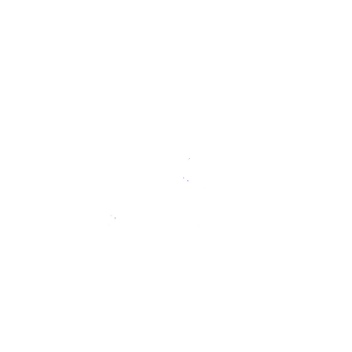 Cc1cc([N+](=O)[O-])ccc1N1C(=O)c2ccc(F)cc2C1=O